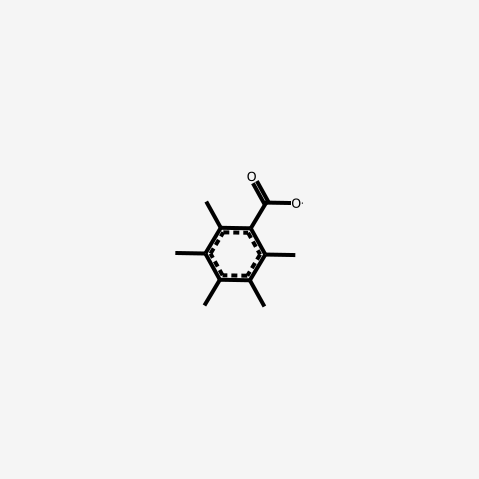 Cc1c(C)c(C)c(C([O])=O)c(C)c1C